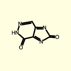 O=C1N=c2cn[nH]c(=O)c2=N1